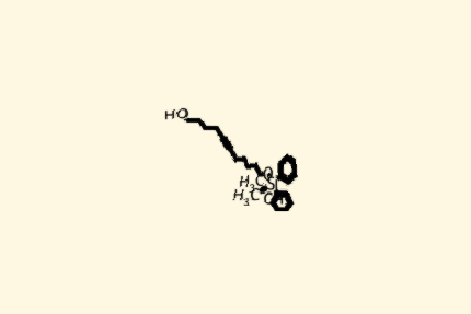 CC(C)(C)[Si](OCCCCCC#CCCCCO)(c1ccccc1)c1ccccc1